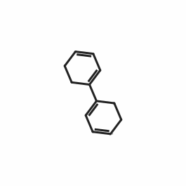 [C]1=CC=C(C2=CC=CCC2)CC1